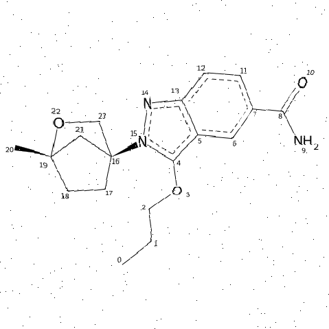 CCCOc1c2cc(C(N)=O)ccc2nn1[C@@]12CC[C@@](C)(C1)OC2